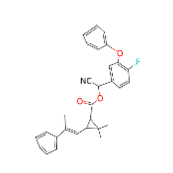 CC(=CC1C(C(=O)OC(C#N)c2ccc(F)c(Oc3ccccc3)c2)C1(C)C)c1ccccc1